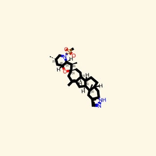 CC1=C2C[C@H]3[C@@H](CC[C@@H]4Cc5[nH]ncc5C[C@@]43C)[C@@H]2CC[C@@]2(C1)O[C@@H]1C[C@H](C)CN(S(C)(=O)=O)[C@H]1[C@H]2C